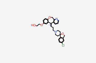 OCCOc1ccc2c(c1)/C(=C/CCN1CCC3(CC1)OCc1cc(Cl)ccc13)c1cccnc1CO2